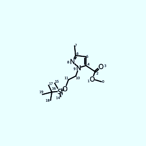 COC(=O)c1cc(C)nn1CCO[Si](C)(C)C(C)(C)C